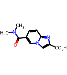 CN(C)C(=O)c1ccc2nc(C(=O)O)cn2c1